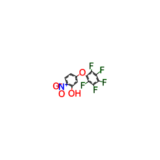 O=[N+]([O-])c1ccc(Oc2c(F)c(F)c(F)c(F)c2F)cc1O